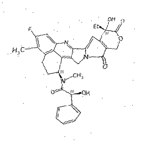 CC[C@@]1(O)C(=O)OCc2c1cc1n(c2=O)Cc2c-1nc1cc(F)c(C)c3c1c2[C@@H](N(C)C(=O)[C@@H](O)c1ccccc1)CC3